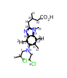 [2H]c1c(N(CCCl)CC(C)Cl)c(C)c([2H])c2c1nc(CC(C)CC(=O)O)n2C